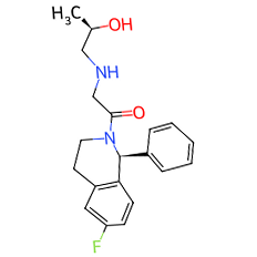 C[C@@H](O)CNCC(=O)N1CCc2cc(F)ccc2[C@@H]1c1ccccc1